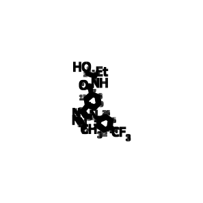 CCC(CO)NC(=O)c1ccc2c(c1)c1nnn(C)c1n2-c1ccc(C(F)(F)F)cc1